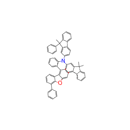 CC1(C)c2ccccc2-c2ccc(N(c3ccc4c(c3)C(C)(c3ccccc3)c3ccccc3-4)c3ccccc3-c3cccc4oc5c(-c6ccccc6)cccc5c34)cc21